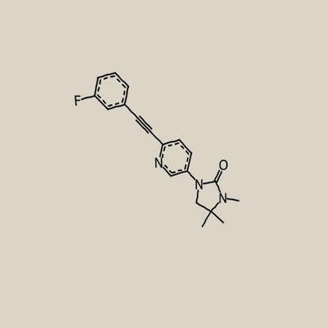 CN1C(=O)N(c2ccc(C#Cc3cccc(F)c3)nc2)CC1(C)C